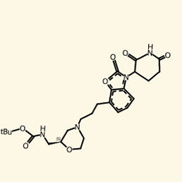 CC(C)(C)OC(=O)NC[C@H]1CN(CCCc2cccc3c2oc(=O)n3C2CCC(=O)NC2=O)CCO1